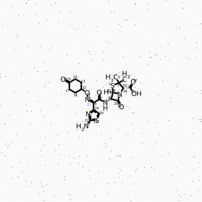 CC1(C)S[C@@H]2[C@@H](NC(=O)/C(=N\OC3CCC(=O)CC3)c3csc(N)n3)C(=O)N2[C@H]1C(=O)O